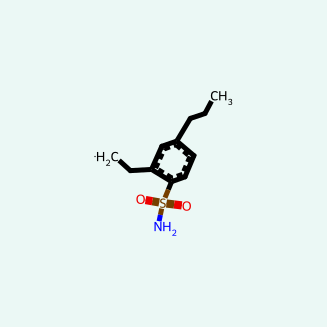 [CH2]Cc1cc(CCC)ccc1S(N)(=O)=O